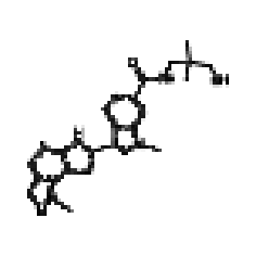 Cn1cc(-c2cc3c(ncc4cnn(C)c43)[nH]2)c2ccc(C(=O)NCC(C)(C)CO)cc21